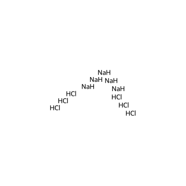 Cl.Cl.Cl.Cl.Cl.Cl.[NaH].[NaH].[NaH].[NaH].[NaH]